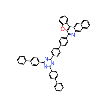 c1ccc(-c2ccc(-c3nc(-c4ccc(-c5ccccc5)cc4)nc(-c4ccc(-c5ccc(-c6nc7cc8ccccc8cc7c7c6oc6ccccc67)cc5)cc4)n3)cc2)cc1